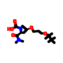 CN(C)C(=O)[C@@H]1C[C@@H](OCCCO[Si](C)(C)C(C)(C)C)CN1C(=O)O